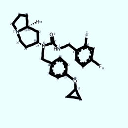 O=C(NCc1ccc(F)cc1F)N(Cc1ccc(OC2CC2)cc1)[C@@H]1CCN2CCC[C@H]2C1